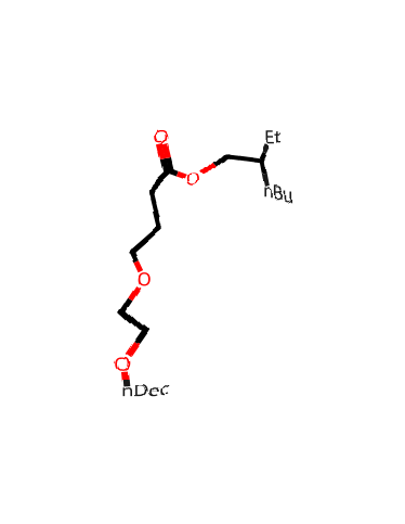 CCCCCCCCCCOCCOCCCC(=O)OCC(CC)CCCC